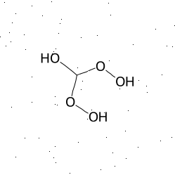 OOC(O)OO